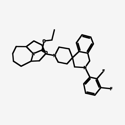 CCOC(=O)N1C2CCCCC1CC(N1CCC3(CC1)CN(c1cccc(F)c1F)Cc1ccccc13)CC2